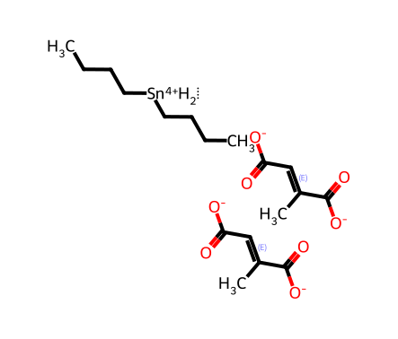 C/C(=C\C(=O)[O-])C(=O)[O-].C/C(=C\C(=O)[O-])C(=O)[O-].CCC[CH2][SnH2+4][CH2]CCC